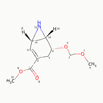 COCO[C@@H]1CC(C(=O)OC)=C[C@@H]2N[C@@H]21